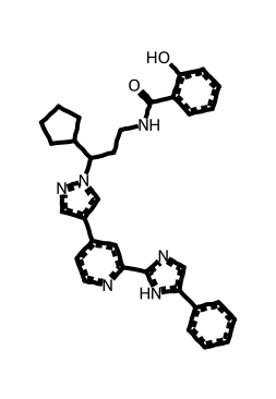 O=C(NCCC(C1CCCC1)n1cc(-c2ccnc(-c3ncc(-c4ccccc4)[nH]3)c2)cn1)c1ccccc1O